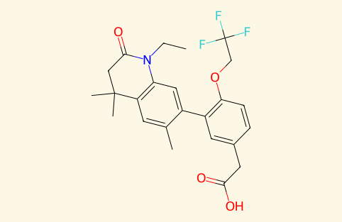 CCN1C(=O)CC(C)(C)c2cc(C)c(-c3cc(CC(=O)O)ccc3OCC(F)(F)F)cc21